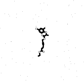 CCOC(=O)C=CC#CCOC(=O)C(C)Oc1ccc(Cl)cc1C